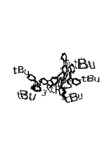 CC(C)(C)c1ccc(N2B3c4sc5ccc(C(C)(C)C)cc5c4N(c4ccc(C(C)(C)C)cc4)c4c3c(cc3c4oc4ccccc43)-c3cc4c(cc32)C(C)(C)c2cc(N(c3ccc(C(C)(C)C)cc3)c3ccc(C(C)(C)C)cc3)ccc2-4)cc1